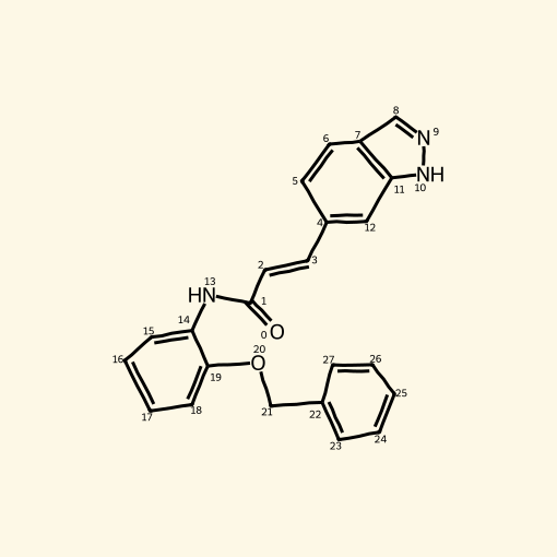 O=C(/C=C/c1ccc2cn[nH]c2c1)Nc1ccccc1OCc1ccccc1